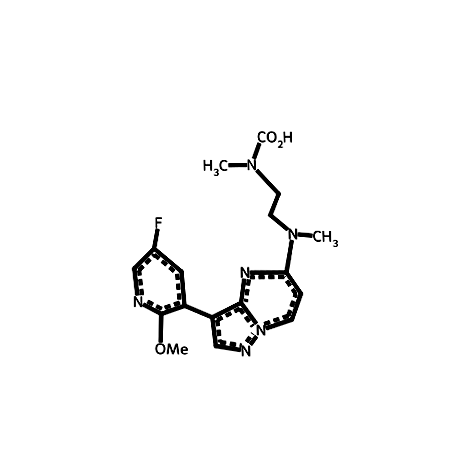 COc1ncc(F)cc1-c1cnn2ccc(N(C)CCN(C)C(=O)O)nc12